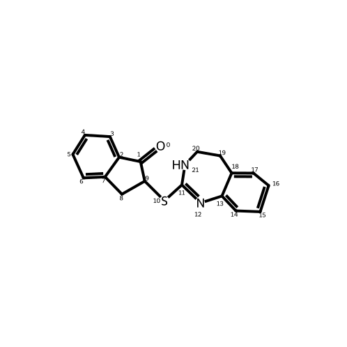 O=C1c2ccccc2CC1SC1=Nc2ccccc2CCN1